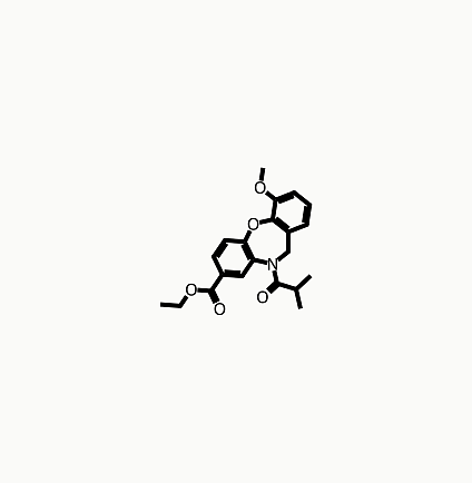 CCOC(=O)c1ccc2c(c1)N(C(=O)C(C)C)Cc1cccc(OC)c1O2